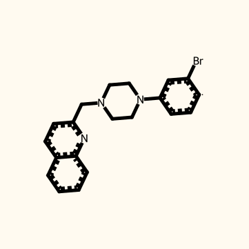 Brc1[c]ccc(N2CCN(Cc3ccc4ccccc4n3)CC2)c1